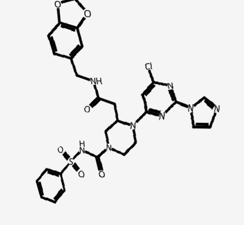 O=C(CC1CN(C(=O)NS(=O)(=O)c2ccccc2)CCN1c1cc(Cl)nc(-n2ccnc2)n1)NCc1ccc2c(c1)OCO2